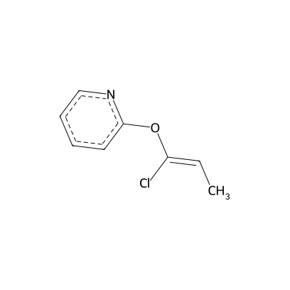 CC=C(Cl)Oc1ccccn1